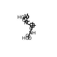 CC1=C(c2ccc(C)nc2C(=O)O)C=NC1CC12CC3(C)CC4(C)CC(OCCNCCS(=O)(=O)O)(C1)C34C2